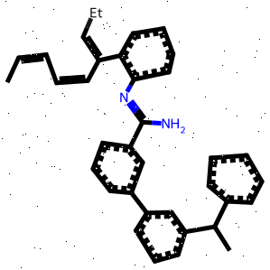 C\C=C/C=C\C(=C\CC)c1ccccc1/N=C(\N)c1cccc(-c2cccc(C(C)c3ccccc3)c2)c1